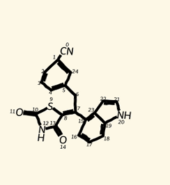 N#Cc1cccc(CC(=C2SC(=O)NC2=O)c2cccc3[nH]ccc23)c1